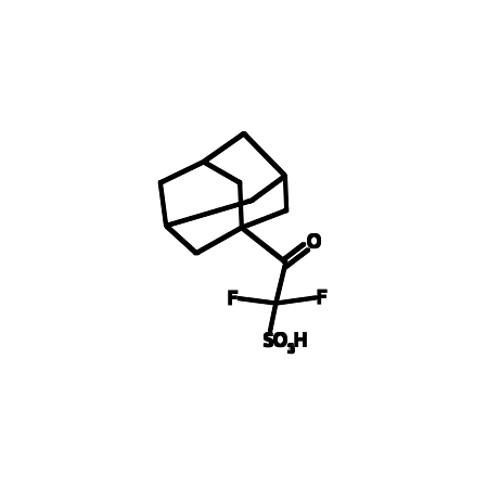 O=C(C12CC3CC(CC(C3)C1)C2)C(F)(F)S(=O)(=O)O